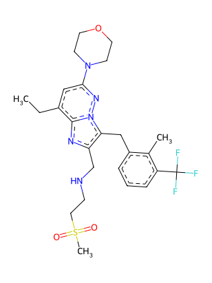 CCc1cc(N2CCOCC2)nn2c(Cc3cccc(C(F)(F)F)c3C)c(CNCCS(C)(=O)=O)nc12